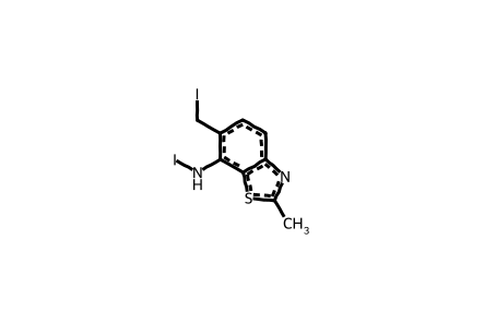 Cc1nc2ccc(CI)c(NI)c2s1